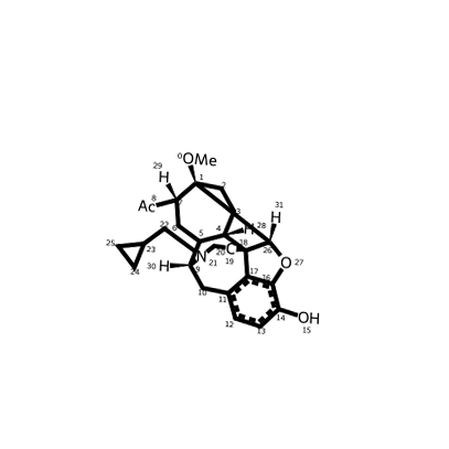 CO[C@]12CC[C@H]3C(C[C@@H]1C(C)=O)[C@H]1Cc4ccc(O)c5c4[C@@]3(CCN1CC1CC1)[C@H]2O5